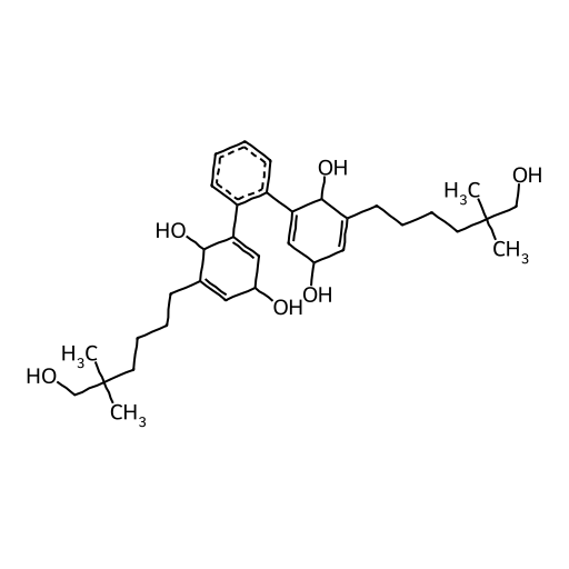 CC(C)(CO)CCCCC1=CC(O)C=C(c2ccccc2C2=CC(O)C=C(CCCCC(C)(C)CO)C2O)C1O